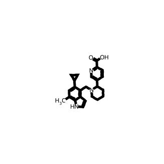 Cc1cc(C2CC2)c(CN2CCCCC2c2ccc(C(=O)O)nc2)c2cc[nH]c12